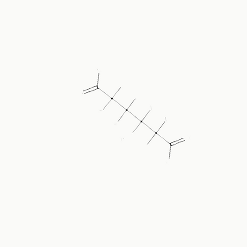 O=C([O-])C(F)(F)C(F)(F)C(F)(F)C(F)(F)C(=O)[O-].[Cu+2]